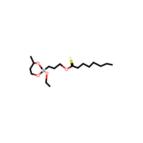 CCCCCCCC(=S)OCCC[Si]1(OCC)OCCC(C)O1